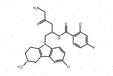 CN1CCc2c(c3cc(Cl)ccc3n2CC(CC(=O)CN)NC(=O)c2ccc(F)cc2Cl)C1